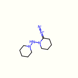 [N-]=[N+]=C1CCCCN1NN1CCCCC1